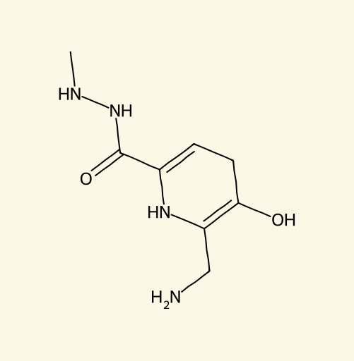 CNNC(=O)C1=CCC(O)=C(CN)N1